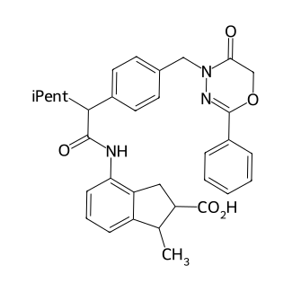 CCCC(C)C(C(=O)Nc1cccc2c1CC(C(=O)O)C2C)c1ccc(CN2N=C(c3ccccc3)OCC2=O)cc1